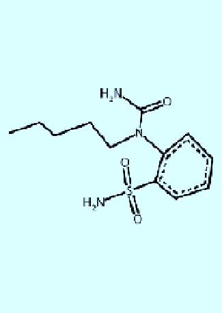 CCCCCN(C(N)=O)c1ccccc1S(N)(=O)=O